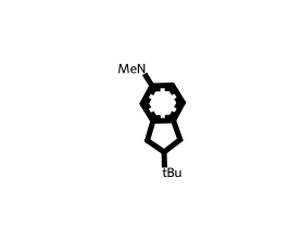 CNc1ccc2c(c1)CC(C(C)(C)C)C2